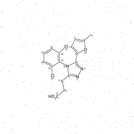 Cc1ccc(-c2nnc(SCC(=O)O)n2-c2c(Cl)cccc2Cl)o1